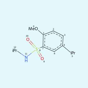 COc1ccc(C(C)C)cc1S(=O)(=O)NC(C)C